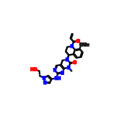 C=CC(=O)N1CC[C@H](N2Cc3cnc(Nc4cnn(CCO)c4)nc3N(C)C2=O)c2cccc(OC)c21